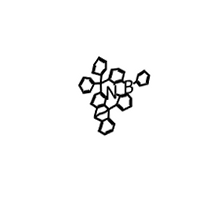 c1ccc(B2c3cccc4c3N3c5c2cccc5C(c2ccccc2)(c2ccccc2)c2ccc5c(c23)C42CCC5c3ccccc32)cc1